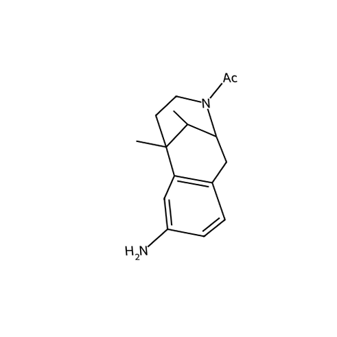 CC(=O)N1CCC2(C)c3cc(N)ccc3CC1C2C